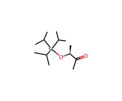 CC(=O)[C@H](C)O[Si](C(C)C)(C(C)C)C(C)C